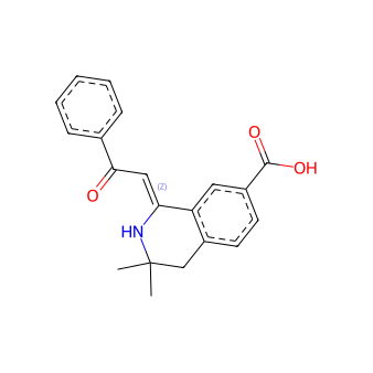 CC1(C)Cc2ccc(C(=O)O)cc2/C(=C/C(=O)c2ccccc2)N1